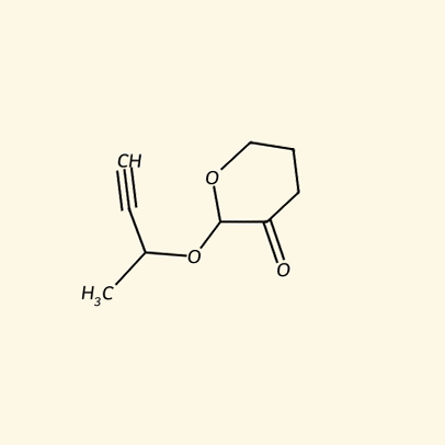 C#CC(C)OC1OCCCC1=O